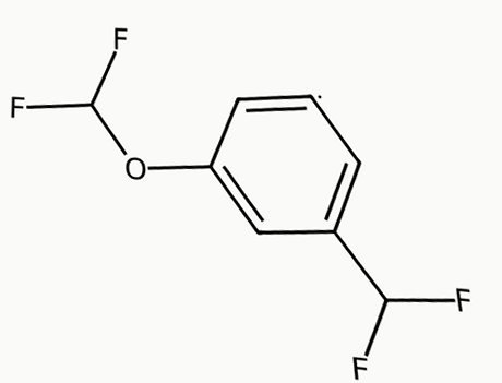 FC(F)Oc1c[c]cc(C(F)F)c1